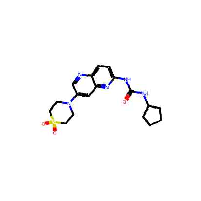 O=C(Nc1ccc2ncc(N3CCS(=O)(=O)CC3)cc2n1)NC1CCCC1